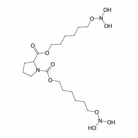 O=C(OCCCCCCON(O)O)C1CCCN1C(=O)OCCCCCCON(O)O